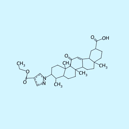 CCOC(=O)c1cnn(C2CCC3(C)C(CCC4(C)C5CCC6(C)CCC(C(=O)O)CC6C5=CC(=O)C43)C2C)c1